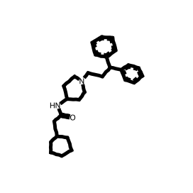 O=C(CC1CCCCC1)NC1CCN(CCC(c2ccccc2)c2ccccc2)CC1